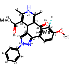 CCOc1ccc(-c2nn(-c3ccccc3)cc2C2C(C(=O)OC)=C(C)NC(C)=C2C(=O)OC)cc1F